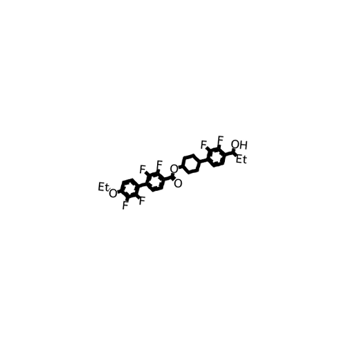 CCOc1ccc(-c2ccc(C(=O)OC3CCC(c4ccc(C(O)CC)c(F)c4F)CC3)c(F)c2F)c(F)c1F